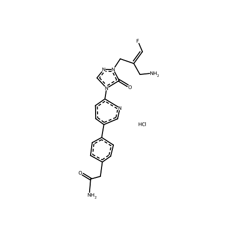 Cl.NC/C(=C/F)Cn1ncn(-c2ccc(-c3ccc(CC(N)=O)cc3)cn2)c1=O